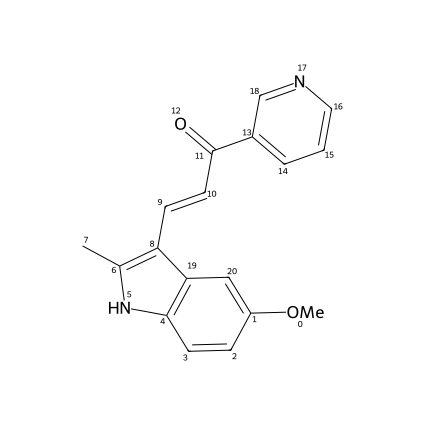 COc1ccc2[nH]c(C)c(C=CC(=O)c3cccnc3)c2c1